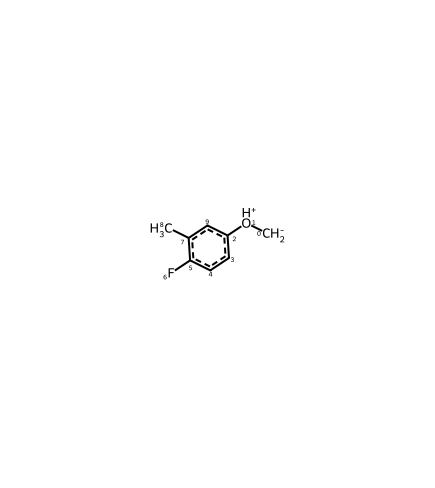 [CH2-][OH+]c1ccc(F)c(C)c1